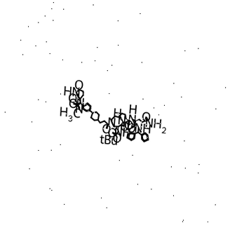 Cn1c(=O)n(C2CCC(=O)NC2=O)c2ccc(C3CCC(CCC(=O)N4CC[C@H]5CC[C@@H](C(=O)N[C@@H](CCC(N)=O)C(=O)NC(c6ccccc6)c6ccccc6)N5C(=O)[C@@H](NC(=O)OC(C)(C)C)C4)CC3)cc21